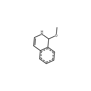 COC1NC=Cc2ccccc21